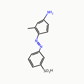 Cc1cc(N)ccc1N=Nc1cccc(S(=O)(=O)O)c1